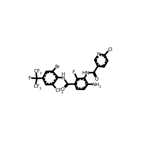 Nc1ccc(C(=O)Nc2c(Br)cc(C(F)(C(F)(F)F)C(F)(F)F)cc2C(F)(F)F)c(F)c1NC(=O)c1ccc(Cl)nc1